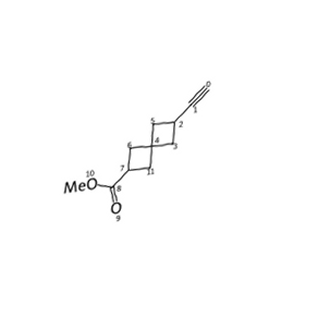 C#CC1CC2(C1)CC(C(=O)OC)C2